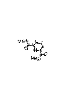 CNC(=O)c1cccc(C(=O)OC)n1